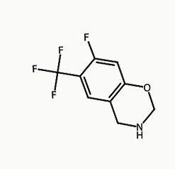 Fc1cc2c(cc1C(F)(F)F)CNCO2